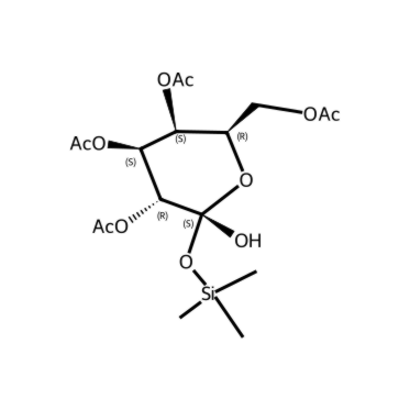 CC(=O)OC[C@H]1O[C@](O)(O[Si](C)(C)C)[C@H](OC(C)=O)[C@@H](OC(C)=O)[C@H]1OC(C)=O